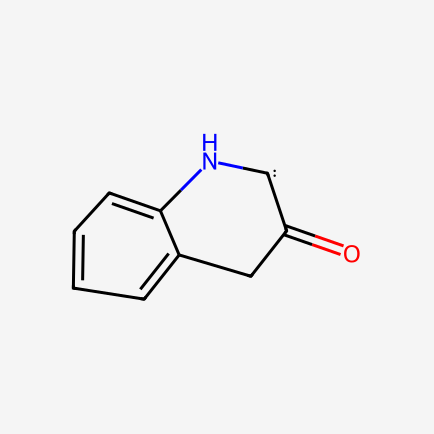 O=C1[C]Nc2ccccc2C1